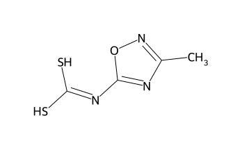 Cc1noc(N=C(S)S)n1